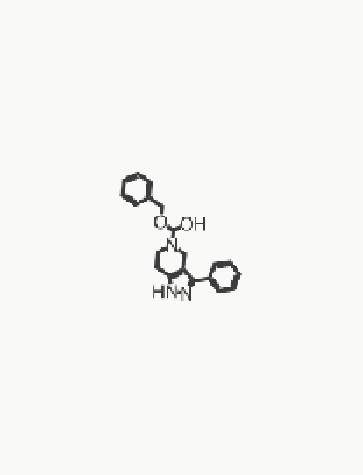 OC(OCc1ccccc1)N1CCc2[nH]nc(-c3ccccc3)c2C1